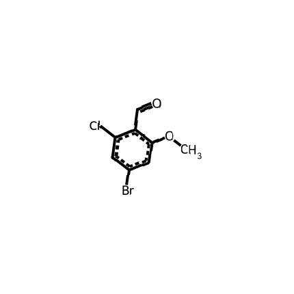 COc1cc(Br)cc(Cl)c1C=O